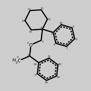 CC(OCC1(c2ccccc2)CCCCC1)c1ccccc1